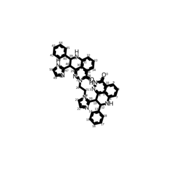 O=c1[nH]nc2c3c(cccc13)NC(c1ccccc1)C2c1nccn1CCn1nc2c3c(cccc3c1=O)NC(c1ccccc1)C2c1ncc[nH]1